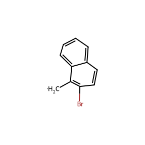 [CH2]c1c(Br)ccc2ccccc12